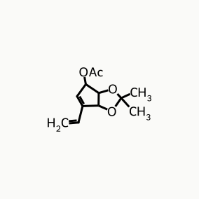 C=CC1=CC(OC(C)=O)C2OC(C)(C)OC12